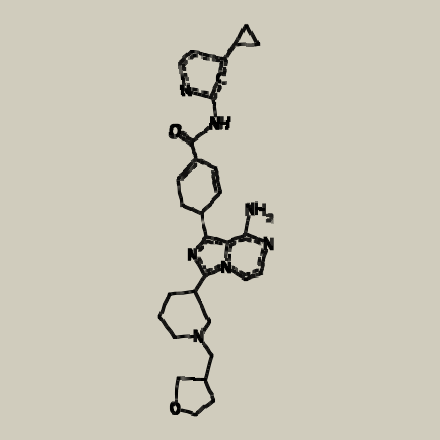 Nc1nccn2c(C3CCCN(CC4CCOC4)C3)nc(C3C=CC(C(=O)Nc4cc(C5CC5)ccn4)=CC3)c12